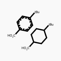 CC(C)(C)C1CCC(C(=O)O)CC1.CC(C)(C)c1ccc(C(=O)O)cc1